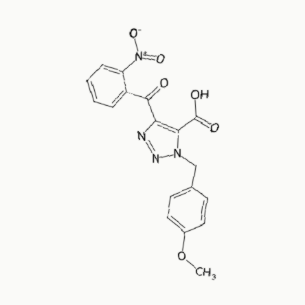 COc1ccc(Cn2nnc(C(=O)c3ccccc3[N+](=O)[O-])c2C(=O)O)cc1